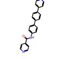 O=C(Nc1ccc(-c2ccc(-c3ccncc3)cc2)cc1)c1ccncc1